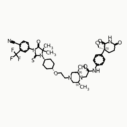 CC[C@@]1(c2ccc(NC(=O)CN3[C@H](C)CN(CCO[C@H]4CC[C@H](N5C(=S)N(c6ccc(C#N)c(C(F)(F)F)c6)C(=O)C5(C)C)CC4)C[C@@H]3C)cc2)CCC(=O)NC1=O